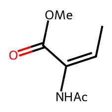 CC=C(NC(C)=O)C(=O)OC